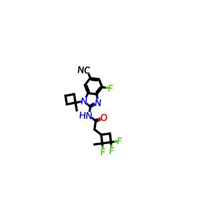 CC1(n2c(NC(=O)CC3CC(F)(F)C3(C)F)nc3c(F)cc(C#N)cc32)CCC1